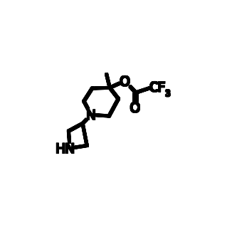 CC1(OC(=O)C(F)(F)F)CCN(C2CNC2)CC1